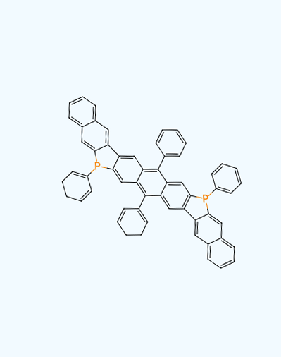 C1=CC(c2c3cc4c(cc3c(-c3ccccc3)c3cc5c(cc23)c2cc3ccccc3cc2p5-c2ccccc2)c2cc3ccccc3cc2p4C2=CCCC=C2)=CCC1